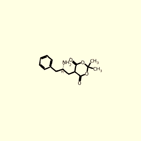 CC1(C)OC(=O)C(C[C@@H](N)Cc2ccccc2)C(=O)O1